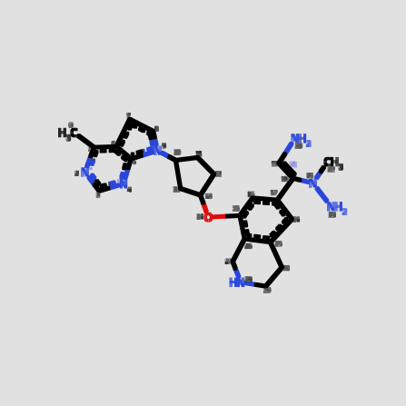 Cc1ncnc2c1ccn2C1CCC(Oc2cc(/C(=C/N)N(C)N)cc3c2CNCC3)C1